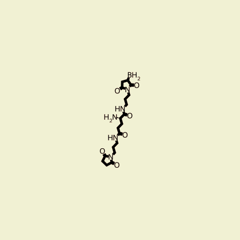 BC1CC(=O)N(CCCNC(=O)[C@@H](N)CCC(=O)NCCCN2C(=O)CCC2=O)C1=O